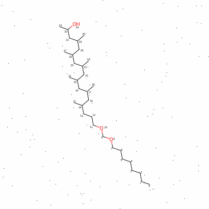 CCCCCCCCOCOCCCC(C)CC(C)CC(C)CC(C)CC(C)CC(C)CC(C)O